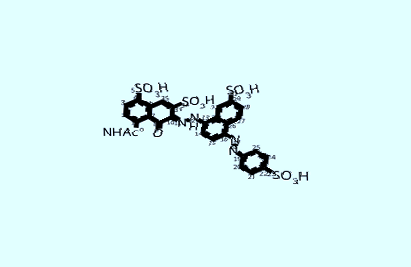 CC(=O)Nc1ccc(S(=O)(=O)O)c2c1C(=O)/C(=N/Nc1ccc(N=Nc3ccc(S(=O)(=O)O)cc3)c3ccc(S(=O)(=O)O)cc13)C(S(=O)(=O)O)=C2